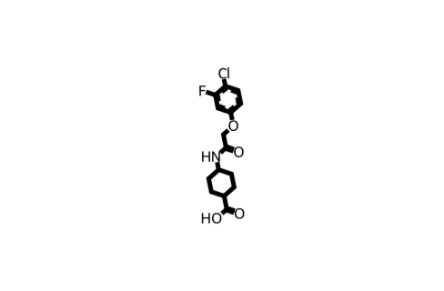 O=C(COc1ccc(Cl)c(F)c1)NC1CCC(C(=O)O)CC1